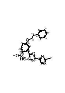 Cc1nc(-c2nnc(-c3cc(OCCc4ccccc4)ccc3B(O)O)o2)cs1